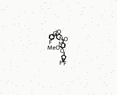 COc1nc(C(=O)N2CC[C@]3(c4cccc(F)c4)OCOC3C2)ccc1OCC1CC2C(C1)C2(F)F